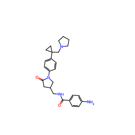 Nc1ccc(C(=O)NCC2CC(=O)N(c3ccc(C4(CN5CCCC5)CC4)cc3)C2)cc1